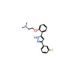 CN(C)CCOc1ccccc1-c1cc(-c2cccc(F)c2)n[nH]1